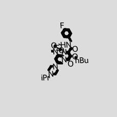 CCCCOc1c(C(=O)NCc2ccc(F)cc2)nc2c(N(C)S(C)(=O)=O)cc(N3CCN(C(C)C)CC3)cn2c1=O